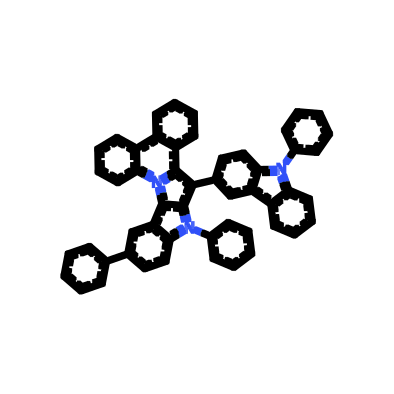 c1ccc(-c2ccc3c(c2)c2c(c(-c4ccc5c(c4)c4ccccc4n5-c4ccccc4)c4c5ccccc5c5ccccc5n42)n3-c2ccccc2)cc1